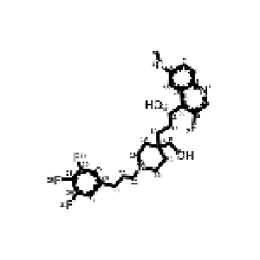 COc1ccc2ncc(F)c([C@@H](O)CCC3(CO)CCN(CCCc4cc(F)c(F)c(F)c4)CC3)c2c1